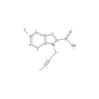 CC#CCn1c(C(=O)O)cc2cc(C)ccc21